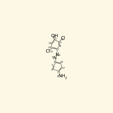 Nc1ccc(N=Nc2cc(Cl)c(O)cc2Cl)cc1